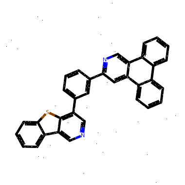 c1cc(-c2cc3c4ccccc4c4ccccc4c3cn2)cc(-c2cncc3c2sc2ccccc23)c1